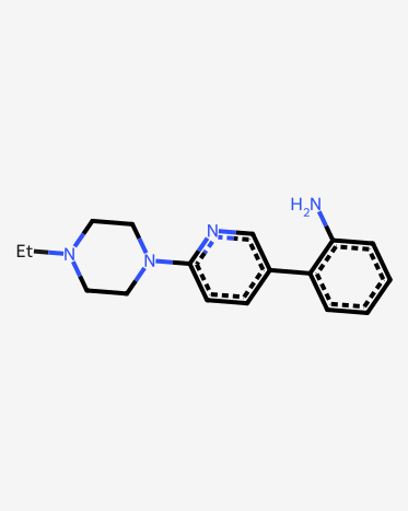 CCN1CCN(c2ccc(-c3ccccc3N)cn2)CC1